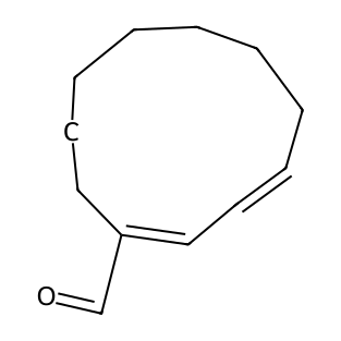 O=C/C1=C/C=C/CCCCCCC1